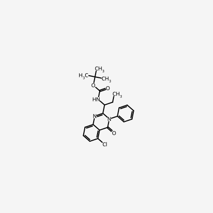 CCC(NC(=O)OC(C)(C)C)c1nc2cccc(Cl)c2c(=O)n1-c1ccccc1